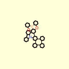 c1ccc2c(c1)Oc1cc(-c3cc4c(cc3-n3c5ccccc5c5ccccc53)-c3ccccc3-c3ccccc3-c3ccccc3-4)cc3c1B2c1ccccc1O3